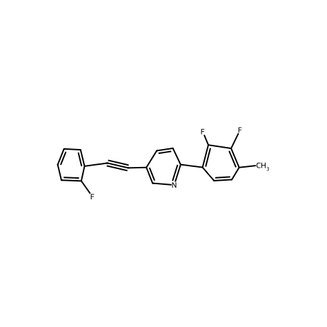 Cc1ccc(-c2ccc(C#Cc3ccccc3F)cn2)c(F)c1F